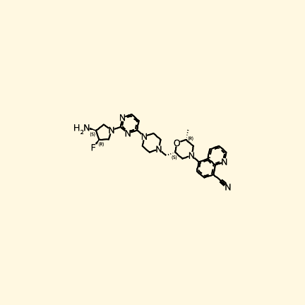 C[C@@H]1CN(c2ccc(C#N)c3ncccc23)C[C@H](CN2CCN(c3ccnc(N4C[C@@H](F)[C@@H](N)C4)n3)CC2)O1